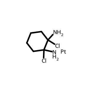 NC1(Cl)CCCCC1(N)Cl.[Pt]